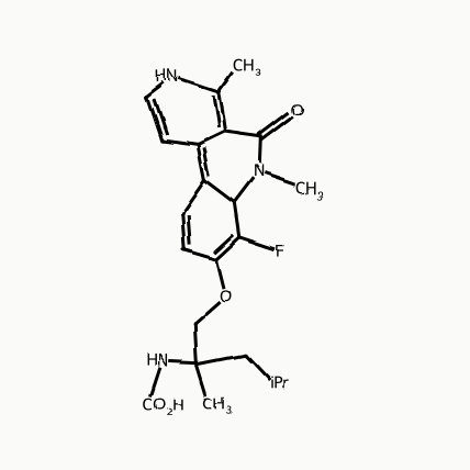 CC1=C2C(=O)N(C)C3C(F)=C(OCC(C)(CC(C)C)NC(=O)O)C=CC3=C2C=CN1